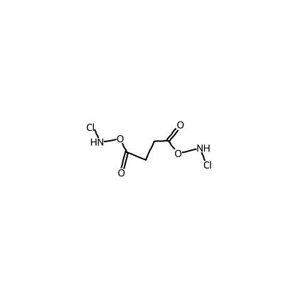 O=C(CCC(=O)ONCl)ONCl